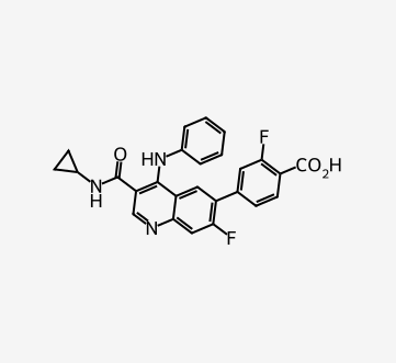 O=C(O)c1ccc(-c2cc3c(Nc4ccccc4)c(C(=O)NC4CC4)cnc3cc2F)cc1F